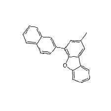 Cc1cc(-c2ccc3ccccc3c2)c2oc3ccccc3c2c1